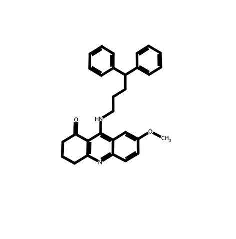 COc1ccc2nc3c(c(NCCCC(c4ccccc4)c4ccccc4)c2c1)C(=O)CCC3